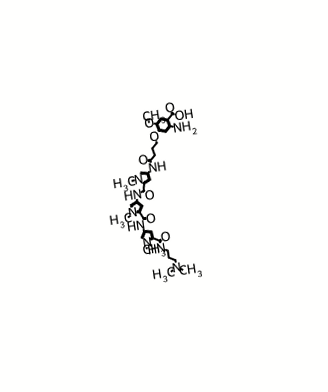 COc1cc(C(=O)O)c(N)cc1OCCCC(=O)Nc1cc(C(=O)Nc2cc(C(=O)Nc3cc(C(=O)NCCCN(C)C)n(C)c3)n(C)c2)n(C)c1